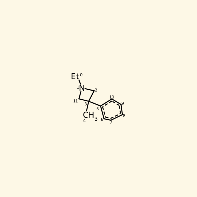 CCN1CC(C)(c2ccccc2)C1